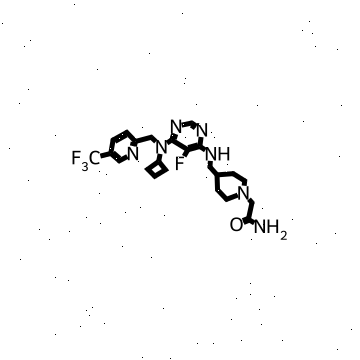 NC(=O)CN1CCC(CNc2ncnc(N(Cc3ccc(C(F)(F)F)cn3)C3CCC3)c2F)CC1